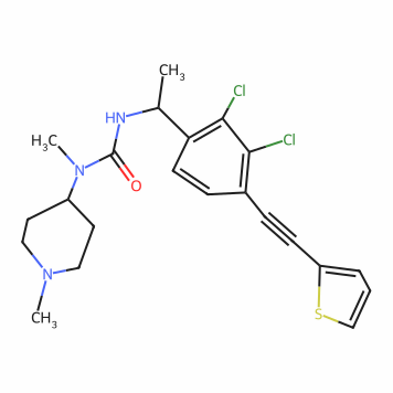 CC(NC(=O)N(C)C1CCN(C)CC1)c1ccc(C#Cc2cccs2)c(Cl)c1Cl